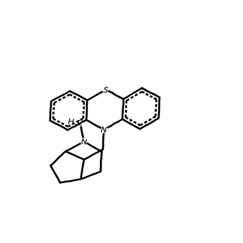 CN1CCC2CCC1C2CN1c2ccccc2Sc2ccccc21